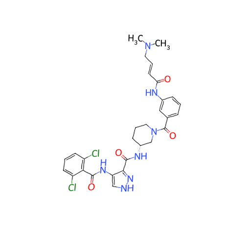 CN(C)C/C=C/C(=O)Nc1cccc(C(=O)N2CCC[C@@H](NC(=O)c3n[nH]cc3NC(=O)c3c(Cl)cccc3Cl)C2)c1